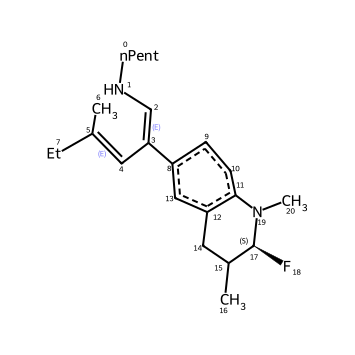 CCCCCN/C=C(\C=C(/C)CC)c1ccc2c(c1)CC(C)[C@H](F)N2C